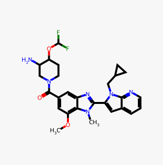 COc1cc(C(=O)N2CCC(OC(F)F)C(N)C2)cc2nc(-c3cc4cccnc4n3CC3CC3)n(C)c12